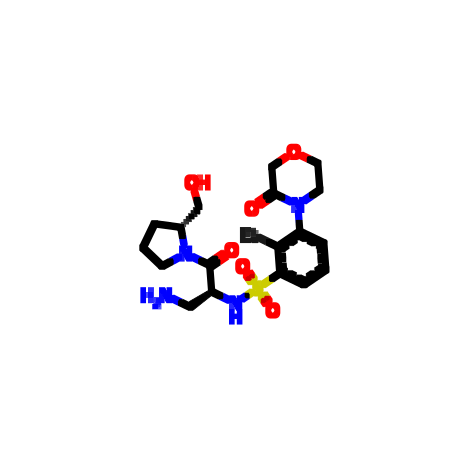 CCc1c(N2CCOCC2=O)cccc1S(=O)(=O)N[C@@H](CN)C(=O)N1CCC[C@@H]1CO